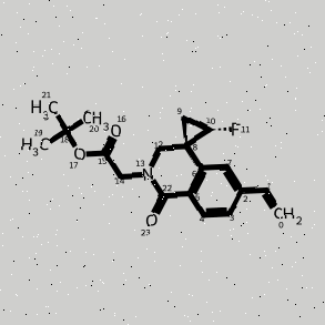 C=Cc1ccc2c(c1)[C@]1(C[C@@H]1F)CN(CC(=O)OC(C)(C)C)C2=O